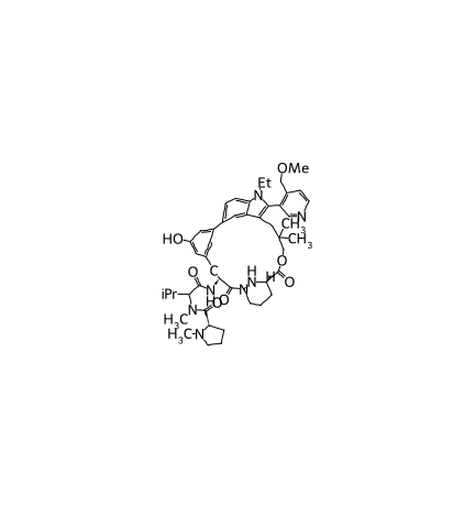 CCn1c(-c2cnccc2COC)c2c3cc(ccc31)-c1cc(O)cc(c1)C[C@H](NC(=O)C(C(C)C)N(C)C(=O)[C@H]1CCCN1C)C(=O)N1CCC[C@H](N1)C(=O)OCC(C)(C)C2